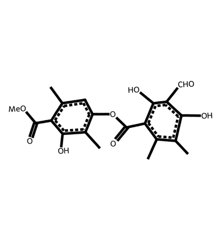 COC(=O)c1c(C)cc(OC(=O)c2c(C)c(C)c(O)c(C=O)c2O)c(C)c1O